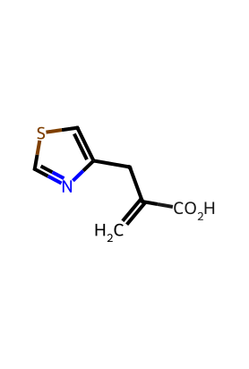 C=C(Cc1cscn1)C(=O)O